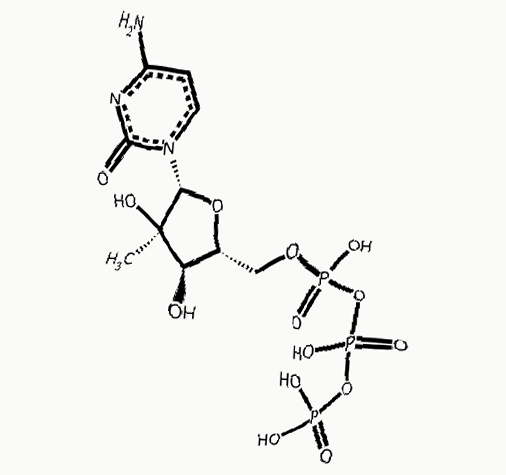 C[C@@]1(O)[C@H](O)[C@@H](COP(=O)(O)OP(=O)(O)OP(=O)(O)O)O[C@H]1n1ccc(N)nc1=O